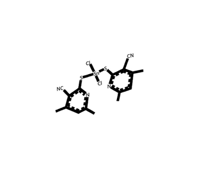 Cc1cc(C)c(C#N)c([S][Sn]([Cl])([Cl])[S]c2nc(C)cc(C)c2C#N)n1